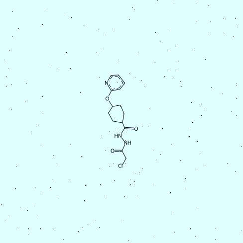 O=C(CCl)NNC(=O)C1CCC(Oc2ccccn2)CC1